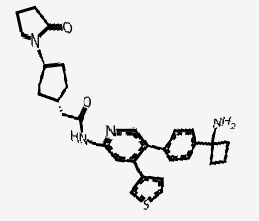 NC1(c2ccc(-c3cnc(NC(=O)C[C@H]4CC[C@H](N5CCCC5=O)CC4)cc3-c3ccsc3)cc2)CCC1